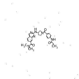 C=CC(=O)Nc1ccc(C(=O)N2CCC(Nc3ncc4ccc(C(=O)N(C)C)cc4n3)C2)cc1